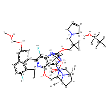 CCc1c(F)ccc2cc(OCOC)cc(-c3nc4c5c(nc(OCC6(CN7CC=C[C@@H]7CO[Si](C)(C)C(C)(C)C)CC6)nc5c3F)N3C[C@H]5CC[C@@H]([C@H]3CO4)N5C(=O)OC(C)(C)C)c12